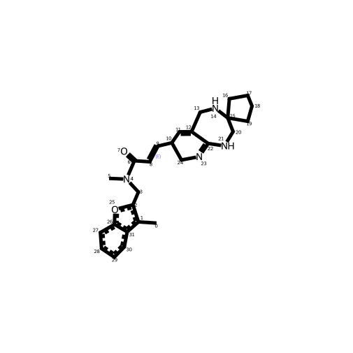 Cc1c(CN(C)C(=O)/C=C/C2C=C3CNC4(CCCC4)CNC3=NC2)oc2ccccc12